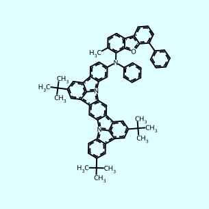 Cc1ccc2c(oc3c(-c4ccccc4)cccc32)c1N(c1ccccc1)c1ccc2c3cc(C(C)(C)C)cc4c5cc6c(cc5n(c2c1)c34)c1cc(C(C)(C)C)cc2c3cc(C(C)(C)C)ccc3n6c21